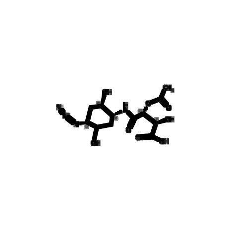 CC(=O)O[C@@H](C(=O)N[C@@H]1CC(O)[C@H](N=[N+]=[N-])C[C@H]1O)[C@@H](O)C(=O)O